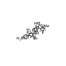 COc1ncc(F)cc1-c1c(CO)sc2cnc(Nc3cc(C)c(N4CCN(C)CC4)cc3OC(C)C)nc12